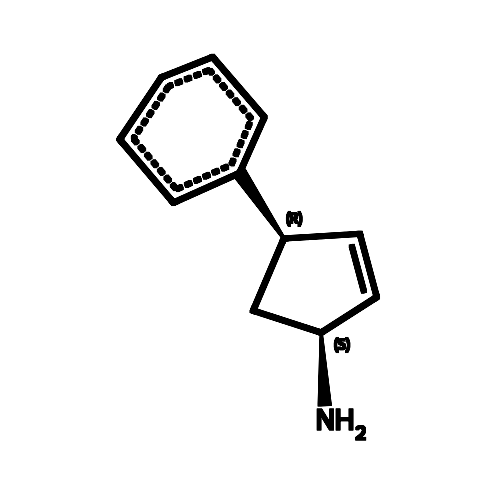 N[C@@H]1C=C[C@H](c2ccccc2)C1